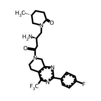 C[C@@H]1CCC(=O)N(C[C@H](N)CC(=O)N2CCc3c(nc(-c4ccc(F)cc4)nc3C(F)(F)F)C2)C1